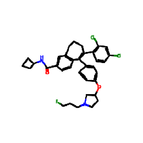 O=C(NC1CCC1)c1ccc2c(c1)CCCC(c1ccc(Cl)cc1Cl)=C2c1ccc(OC2CCN(CCCF)C2)cc1